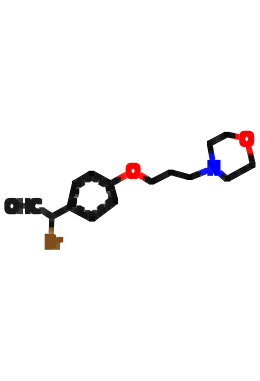 O=CC(Br)c1ccc(OCCCN2CCOCC2)cc1